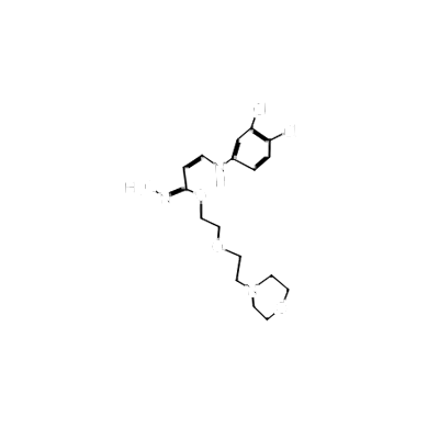 C/N=C(\C=C/Nc1ccc(Cl)c(Cl)c1)OCCOCCN1CCOCC1